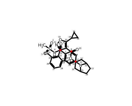 CS(=O)(=O)NC(=O)c1ccc(N2C3CCC2CC(OC(=O)c2c(-c4c(Cl)cccc4Cl)noc2C2CC2)C3)cc1